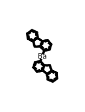 c1ccc2c(c1)Cc1[c]([Ba][c]3cccc4c3Cc3ccccc3-4)cccc1-2